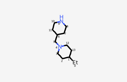 CCC1CCN(CC2CCNCC2)CC1